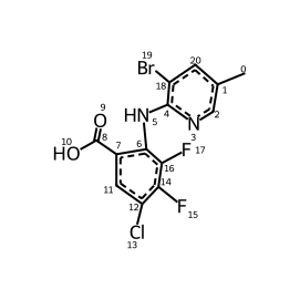 Cc1cnc(Nc2c(C(=O)O)cc(Cl)c(F)c2F)c(Br)c1